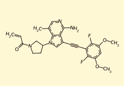 C=CC(=O)N1CCC(n2cc(C#Cc3c(F)c(OC)cc(OC)c3F)c3c(N)ncc(C)c32)C1